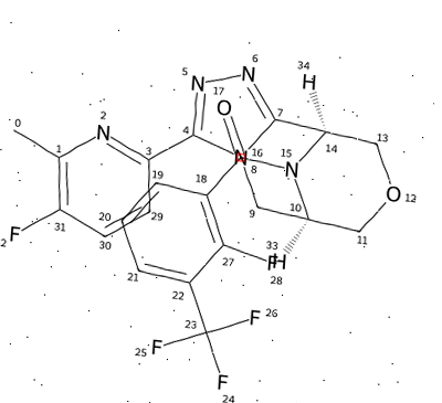 Cc1nc(-c2nnc3n2C[C@@H]2COC[C@H]3N2C(=O)c2cccc(C(F)(F)F)c2F)ccc1F